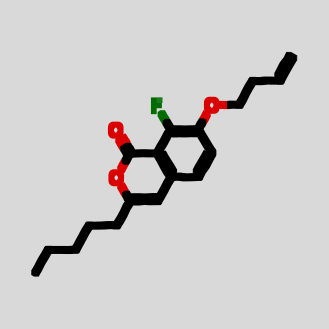 C=CCCOc1ccc2cc(CCCCC)oc(=O)c2c1F